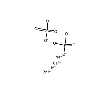 O=P([O-])([O-])[O-].O=S(=O)([O-])[O-].[Ca+2].[Fe+3].[Na+].[Zn+2]